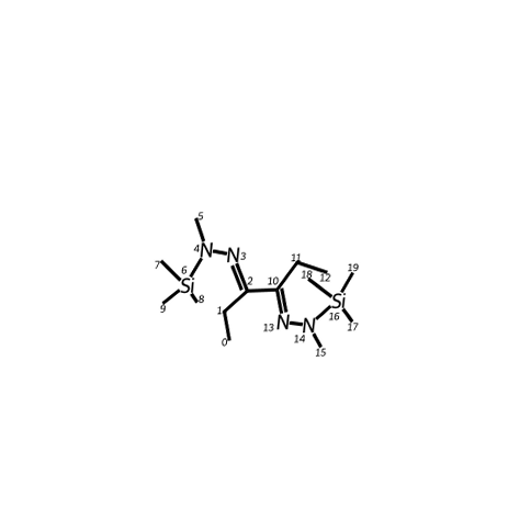 CCC(=N\N(C)[Si](C)(C)C)/C(CC)=N/N(C)[Si](C)(C)C